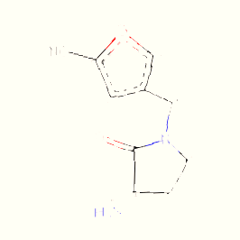 N#Cc1cc(CN2CC[C@H](N)C2=O)co1